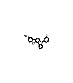 N#Cc1ccc2oc3c(ccc4c3c3ccccc3n4-c3cccc(Br)c3)c2c1